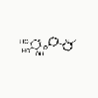 Cc1cccc(-c2cccc(O[C@H]3SC[C@@H](O)[C@H](O)[C@H]3O)c2)n1